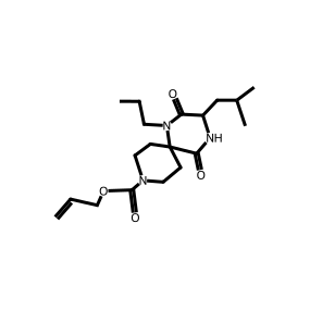 C=CCOC(=O)N1CCC2(CC1)C(=O)NC(CC(C)C)C(=O)N2CCC